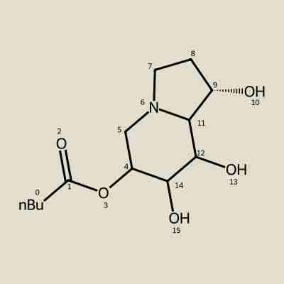 CCCCC(=O)OC1CN2CC[C@H](O)C2C(O)C1O